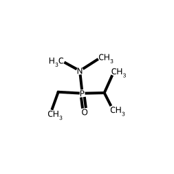 CCP(=O)(C(C)C)N(C)C